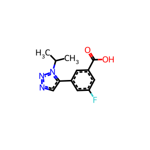 CC(C)n1nncc1-c1cc(F)cc(C(=O)O)c1